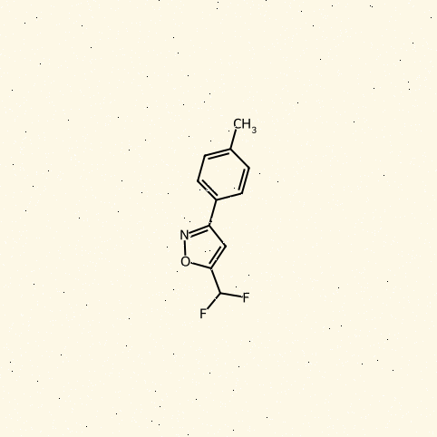 Cc1ccc(-c2cc(C(F)F)on2)cc1